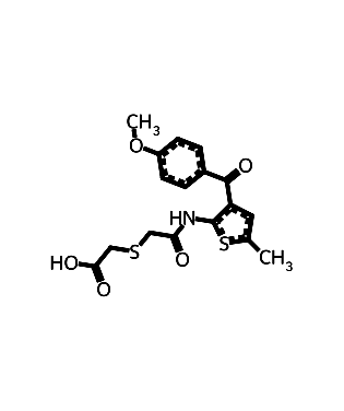 COc1ccc(C(=O)c2cc(C)sc2NC(=O)CSCC(=O)O)cc1